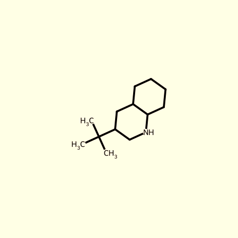 CC(C)(C)C1CNC2CCCCC2C1